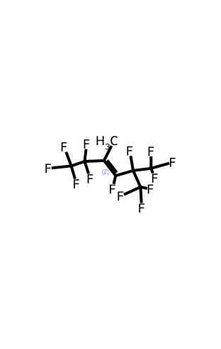 C/C(=C(/F)C(F)(C(F)(F)F)C(F)(F)F)C(F)(F)C(F)(F)F